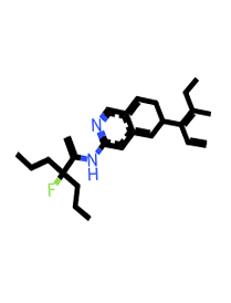 C=C/C(=C(\C)CC)C1C=c2cc(NC(=C)C(F)(CCC)CCC)ncc2=CC1